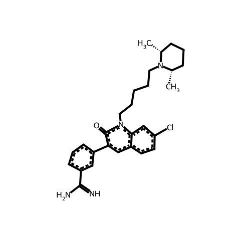 C[C@@H]1CCC[C@H](C)N1CCCCCn1c(=O)c(-c2cccc(C(=N)N)c2)cc2ccc(Cl)cc21